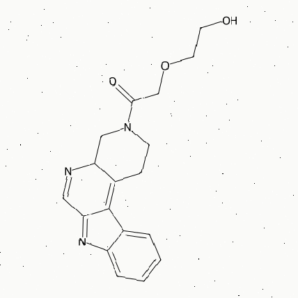 O=C(COCCO)N1CCC2=C3C(=Nc4ccccc43)C=NC2C1